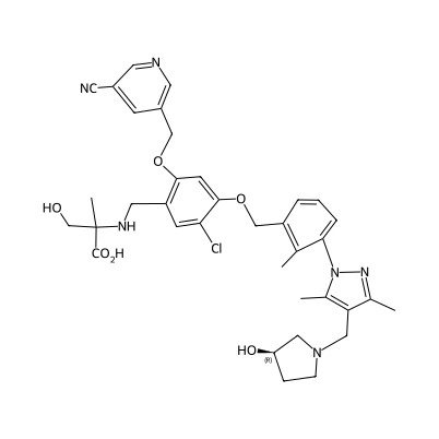 Cc1nn(-c2cccc(COc3cc(OCc4cncc(C#N)c4)c(CNC(C)(CO)C(=O)O)cc3Cl)c2C)c(C)c1CN1CC[C@@H](O)C1